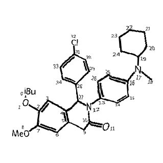 CC[C@@H](C)Oc1cc2c(cc1OC)CC(=O)N(c1ccc(N(C)C3CCCCC3)cc1)C2c1ccc(Cl)cc1